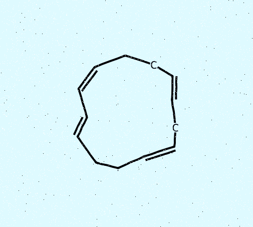 [CH]1/C=C/C/C=C/CC/C=C\C=C\C1